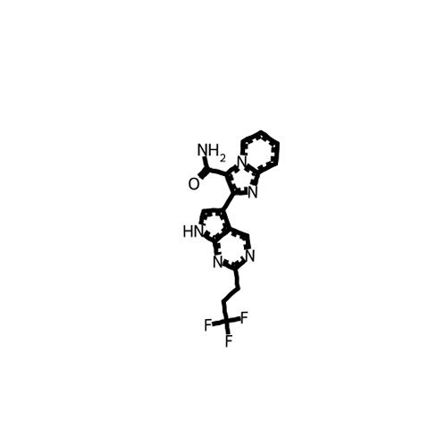 NC(=O)c1c(-c2c[nH]c3nc(CCC(F)(F)F)ncc23)nc2ccccn12